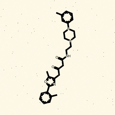 Cc1cccc(N2CCN(CCNC(=O)CC(=O)Cc3nc(-c4ccccc4C)oc3C)CC2)c1